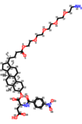 C[C@H](CCC(=O)OCCOCCOCCOCCOCCN)C1CCC2[C@@H]3CC[C@@H]4C[C@H](OC(=O)[C@H](CC(=O)O)NC(=O)c5ccc([N+](=O)[O-])cc5)CC[C@]4(C)C3CC[C@@]21C